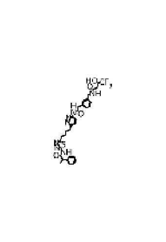 CC(C(=O)Nc1nnc(CCCCc2ccc(NC(=O)Cc3cccc(CNC(=O)CC(O)C(F)(F)F)c3)nn2)s1)c1ccccc1